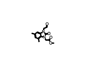 COC(=O)Cn1c(=O)n(CC=O)c2cc(C)cc(C)c21